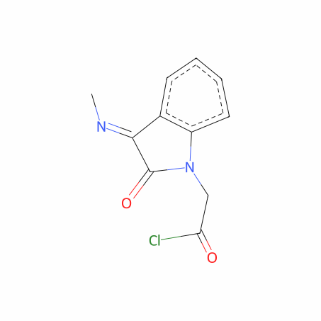 C/N=C1/C(=O)N(CC(=O)Cl)c2ccccc21